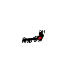 CC1(c2ccc(O)cc2)COc2cc(O)ccc2C1c1ccc(C[C@H](N)C(=O)OCCCCC(CCCC(F)(F)C(F)(F)F)C(=O)O)cc1